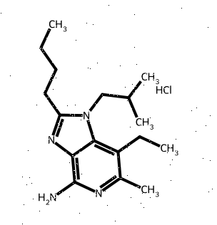 CCCCc1nc2c(N)nc(C)c(CC)c2n1CC(C)C.Cl